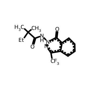 CCC(C)(C)C(=O)Nn1nc(C(F)(F)F)c2ccccc2c1=O